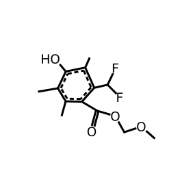 COCOC(=O)c1c(C)c(C)c(O)c(C)c1C(F)F